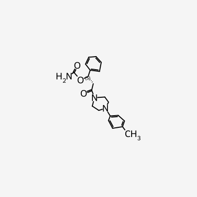 Cc1ccc(N2CCN(C(=O)C[C@H](OC(N)=O)c3ccccc3)CC2)cc1